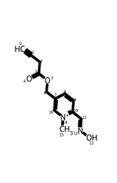 C#CCC(=O)OCc1ccc(C=NO)[n+](C)c1